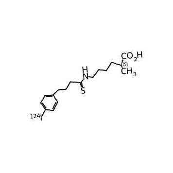 C[C@@H](CCCCNC(=S)CCCc1ccc([124I])cc1)C(=O)O